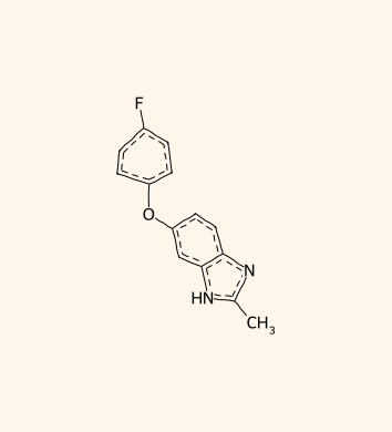 Cc1nc2ccc(Oc3ccc(F)cc3)cc2[nH]1